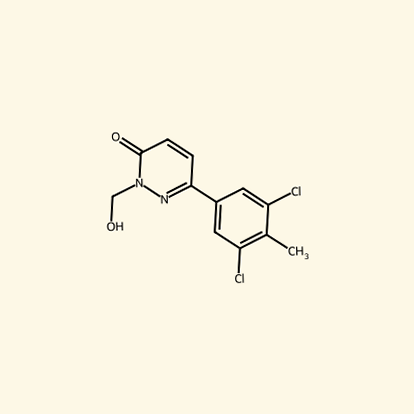 Cc1c(Cl)cc(-c2ccc(=O)n(CO)n2)cc1Cl